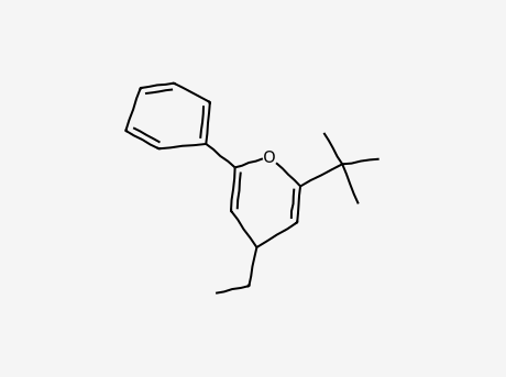 CCC1C=C(c2ccccc2)OC(C(C)(C)C)=C1